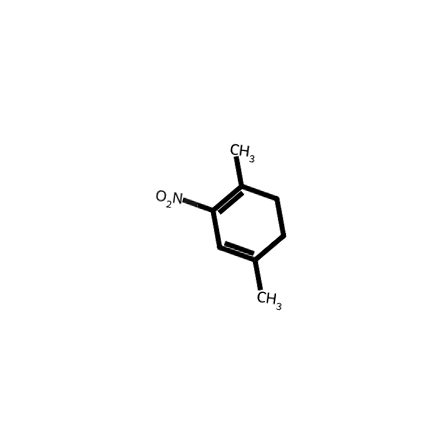 CC1=CC([N+](=O)[O-])=C(C)CC1